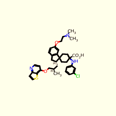 C[C@@H](COc1ccnc2ccsc12)C[C@@H]1Cc2ccc(OCCN(C)C)cc2C12CCC(Nc1cccc(Cl)c1)(C(=O)O)CC2